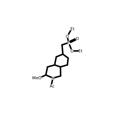 CCOP(=O)(CC1CCC2CN(C(C)=O)C(OC)CC2C1)OCC